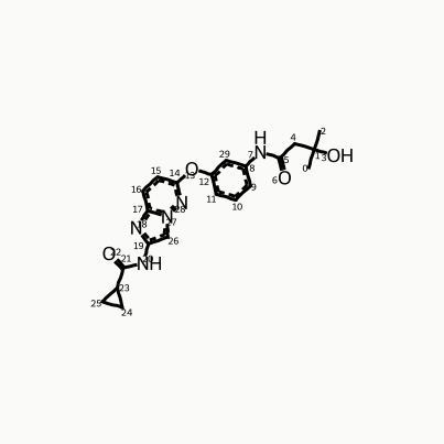 CC(C)(O)CC(=O)Nc1cccc(Oc2ccc3nc(NC(=O)C4CC4)cn3n2)c1